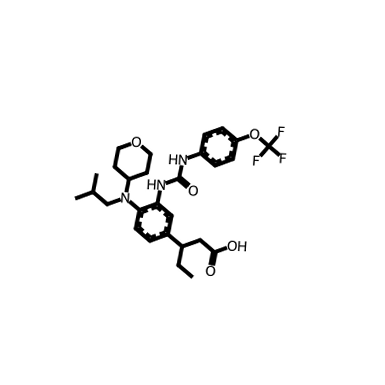 CCC(CC(=O)O)c1ccc(N(CC(C)C)C2CCOCC2)c(NC(=O)Nc2ccc(OC(F)(F)F)cc2)c1